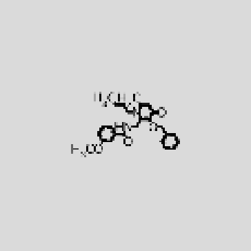 CCCCn1c(C)cc(=O)c(OCc2ccccc2)c1CNC(=O)c1cccc(OC)c1